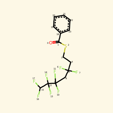 O=C(SCCC(F)(F)CC(F)(F)C(F)(F)C(F)F)c1ccccc1